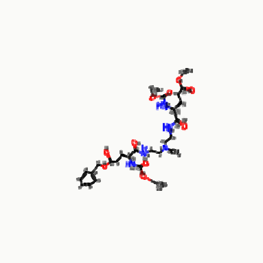 CN(CCNC(=O)[C@H](CCC(=O)OCc1ccccc1)NC(=O)OC(C)(C)C)CCNC(=O)[C@H](CCC(=O)OC(C)(C)C)NC(=O)OC(C)(C)C